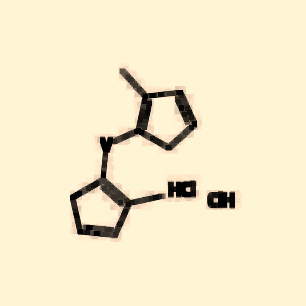 CC1=[C]([V][C]2=C(C)C=CC2)CC=C1.Cl.Cl